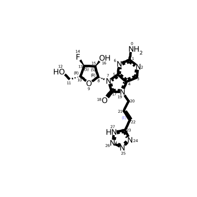 Nc1ncc2c(n1)n([C@@H]1O[C@H](CO)[C@@H](F)[C@H]1O)c(=O)n2C/C=C/c1nnn[nH]1